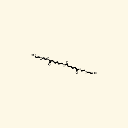 O=C(CCCCC(=O)OCCOCCO)OCCCCCC(=O)OCCOCCO